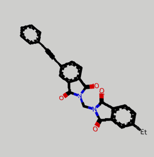 CCc1ccc2c(c1)C(=O)N(CN1C(=O)c3ccc(C#Cc4ccccc4)cc3C1=O)C2=O